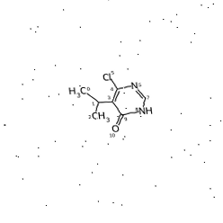 CC(C)c1c(Cl)nc[nH]c1=O